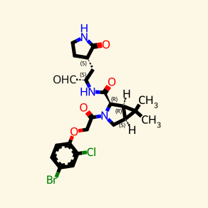 CC1(C)[C@@H]2[C@H](C(=O)N[C@H](C=O)C[C@@H]3CCNC3=O)N(C(=O)COc3ccc(Br)cc3Cl)C[C@@H]21